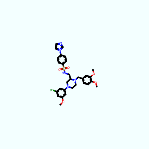 COc1cc(Br)cc(N2CCN(Cc3ccc(OC)c(OC)c3)C(CNS(=O)(=O)c3ccc(-n4ccnc4)cc3)C2)c1